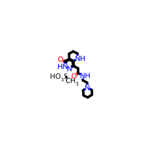 CS(=O)(=O)O.O=C(Cc1n[nH]c(=O)c2c1NCCC2)NCCN1CCCCC1